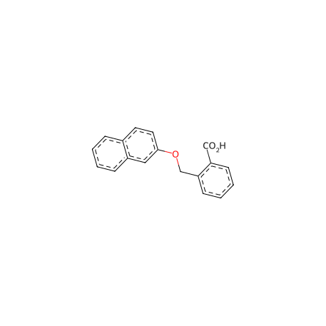 O=C(O)c1ccccc1COc1ccc2ccccc2c1